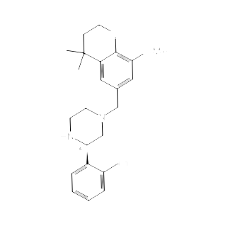 COc1cc(CN2CCN[C@H](c3ccccc3C(C)C)C2)cc2c1OCCC2(C)C